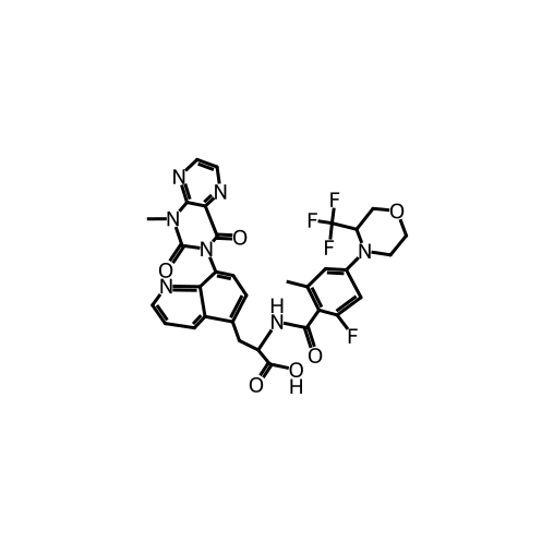 Cc1cc(N2CCOCC2C(F)(F)F)cc(F)c1C(=O)NC(Cc1ccc(-n2c(=O)c3nccnc3n(C)c2=O)c2ncccc12)C(=O)O